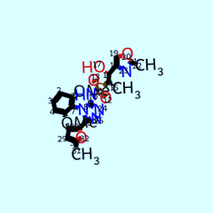 COc1cccc(OC)c1-n1c(NS(=O)(=O)[C@@H](C)[C@@H](O)c2coc(C)n2)nnc1-c1ccc(C)o1